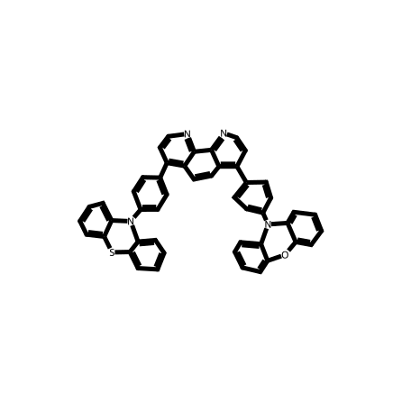 c1ccc2c(c1)Oc1ccccc1N2c1ccc(-c2ccnc3c2ccc2c(-c4ccc(N5c6ccccc6Sc6ccccc65)cc4)ccnc23)cc1